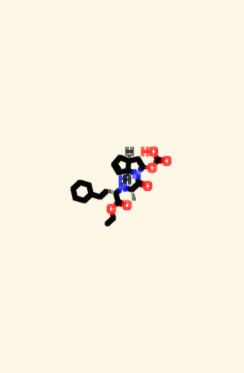 CCOC(=O)[C@H](CCC1CCCCC1)N[C@@H](C)C(=O)N1[C@@H]2C=CC[C@H]2C[C@H]1OC(=O)O